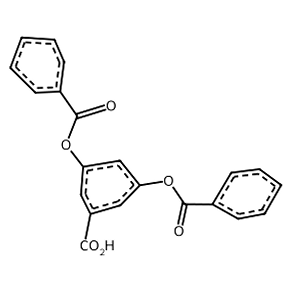 O=C(O)c1cc(OC(=O)c2ccccc2)cc(OC(=O)c2ccccc2)c1